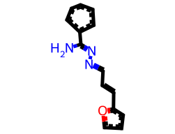 NC(=NN=CC=Cc1ccco1)c1ccccc1